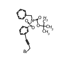 CC(C)(C)OC(=O)N(Cc1ccccc1)S(=O)(=O)c1cccc(C#CCBr)c1